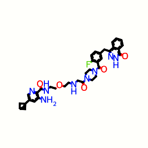 Nc1cc(C23CC(C2)C3)cnc1C(=O)NCCOCCNCC(=O)N1CCN(C(=O)c2cc(Cc3n[nH]c(=O)c4ccccc34)ccc2F)CC1